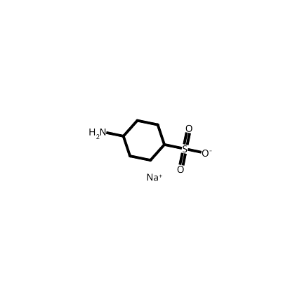 NC1CCC(S(=O)(=O)[O-])CC1.[Na+]